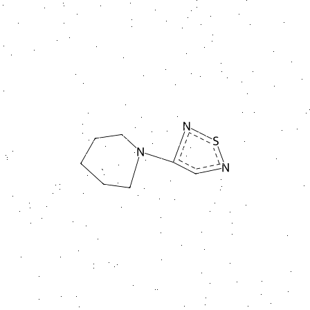 c1nsnc1N1CCCCC1